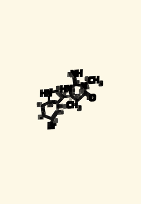 CN1C(=N)N[C@](C)(c2c[nH]c3ccc(Br)cc23)CC1=O